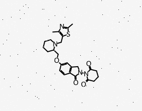 Cc1nc(C)c(CN2CCCCC2COc2ccc3c(c2)CN(N2C(=O)CCCC2=O)C3=O)s1